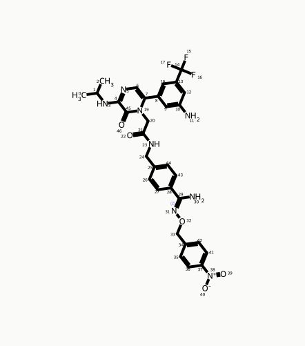 CC(C)Nc1ncc(-c2cc(N)cc(C(F)(F)F)c2)n(CC(=O)NCc2ccc(/C(N)=N/OCc3ccc([N+](=O)[O-])cc3)cc2)c1=O